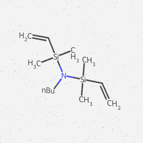 C=C[Si](C)(C)N(CCCC)[Si](C)(C)C=C